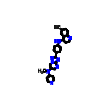 CN(c1ccncc1)c1cnc2nc(-c3ccc(Nc4ccnc5ccc(C#N)cc45)cc3)nn2c1